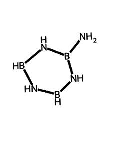 NB1NBNBN1